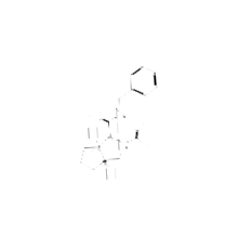 CC(=O)N1C[C@@H]2CCC[C@@H]2[C@H]1C(=O)NCc1ccccc1